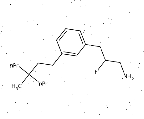 CCCC(C)(CCC)CCc1cccc(CC(F)CN)c1